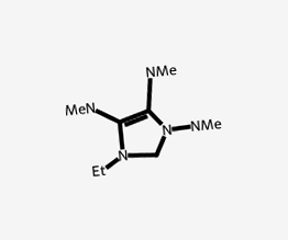 CCN1CN(NC)C(NC)=C1NC